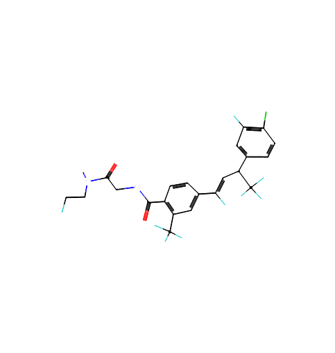 CN(CCF)C(=O)CNC(=O)c1ccc(/C(F)=C/C(c2ccc(Cl)c(F)c2)C(F)(F)F)cc1C(F)(F)F